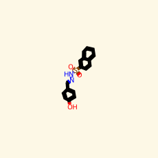 O=S(=O)(NN=Cc1ccc(O)cc1)c1ccc2ccccc2c1